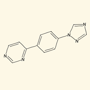 c1cc(-c2ccc(-n3cncn3)cc2)ncn1